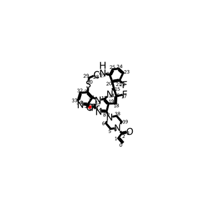 C=CC(=O)N1CCN(c2nc(=O)n3c4nc(c(F)cc24)-c2c(F)cccc2NCCSc2ccnc(C(C)C)c2-3)CC1